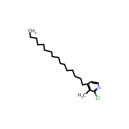 CCCCCCCCCCCCCCCCc1ccnc(Cl)c1C